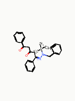 C[Si](C)(C)N(Cc1ccccc1)/N=C(\CC(=O)CC(=O)c1ccccc1)c1ccccc1